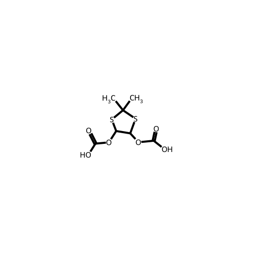 CC1(C)SC(OC(=O)O)C(OC(=O)O)S1